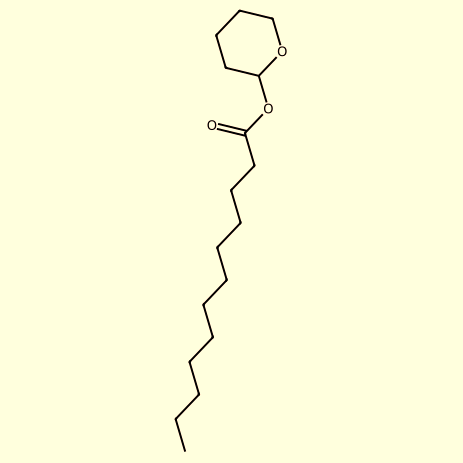 CCCCCCCCCCCC(=O)OC1CCCCO1